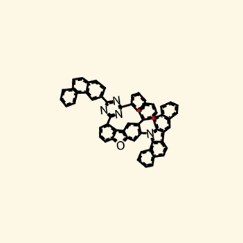 c1ccc(-c2nc(-c3ccc4ccc5ccccc5c4c3)nc(-c3cccc4oc5cc(-n6c7cc8ccccc8cc7c7ccc8ccccc8c76)c(-c6ccccc6)cc5c34)n2)cc1